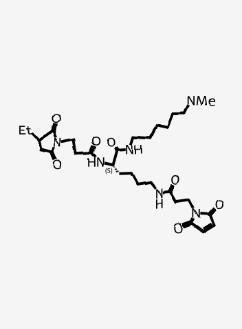 CCC1CC(=O)N(CCC(=O)N[C@@H](CCCCNC(=O)CCN2C(=O)C=CC2=O)C(=O)NCCCCCCNC)C1=O